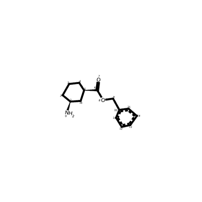 N[C@H]1CCC[C@@H](C(=O)OCc2ccccc2)C1